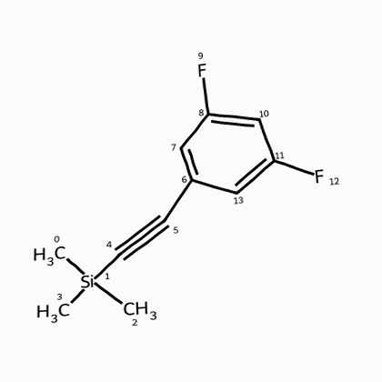 C[Si](C)(C)C#Cc1cc(F)cc(F)c1